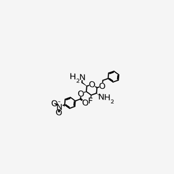 NC[C@H]1OC(OCc2ccccc2)[C@H](N)[C@@H](F)[C@H]1OC(=O)c1ccc([N+](=O)[O-])cc1